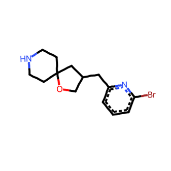 Brc1cccc(CC2COC3(CCNCC3)C2)n1